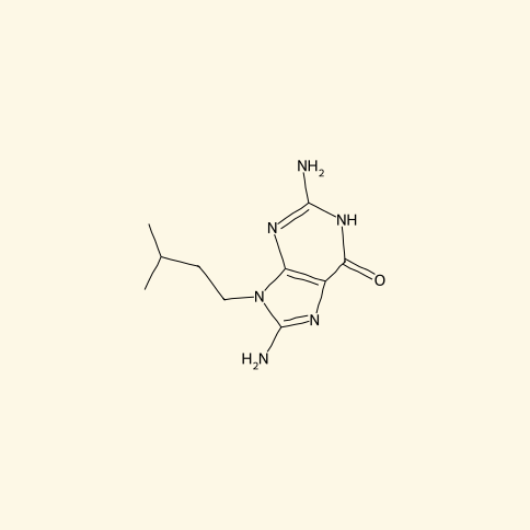 CC(C)CCn1c(N)nc2c(=O)[nH]c(N)nc21